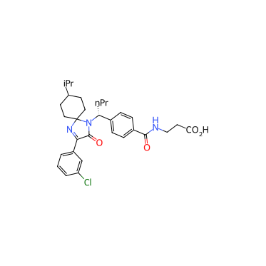 CCC[C@H](c1ccc(C(=O)NCCC(=O)O)cc1)N1C(=O)C(c2cccc(Cl)c2)=NC12CCC(C(C)C)CC2